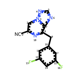 N#Cc1cn2ncnc2c(Cc2cc(F)cc(F)c2)n1